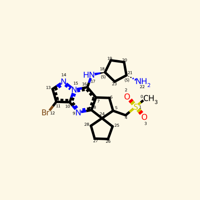 CS(=O)(=O)CC1Cc2c(nc3c(Br)cnn3c2N[C@H]2CC[C@H](N)C2)C12CCCC2